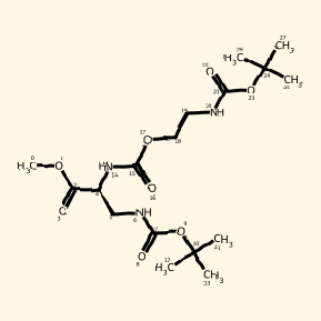 COC(=O)[C@H](CNC(=O)OC(C)(C)C)NC(=O)OCCNC(=O)OC(C)(C)C